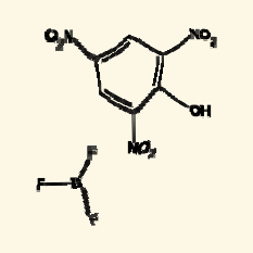 FB(F)F.O=[N+]([O-])c1cc([N+](=O)[O-])c(O)c([N+](=O)[O-])c1